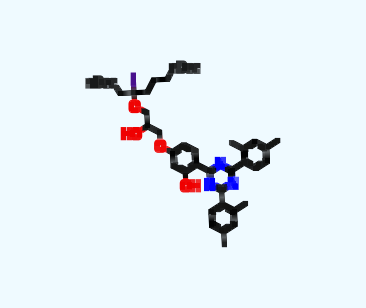 CCCCCCCCCCCCCC(I)(CCCCCCCCCCC)OCC(O)COc1ccc(-c2nc(-c3ccc(C)cc3C)nc(-c3ccc(C)cc3C)n2)c(O)c1